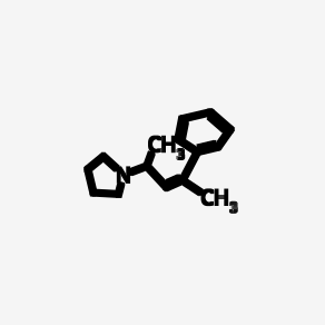 C/C(=C/C(C)N1CCCC1)c1ccccc1